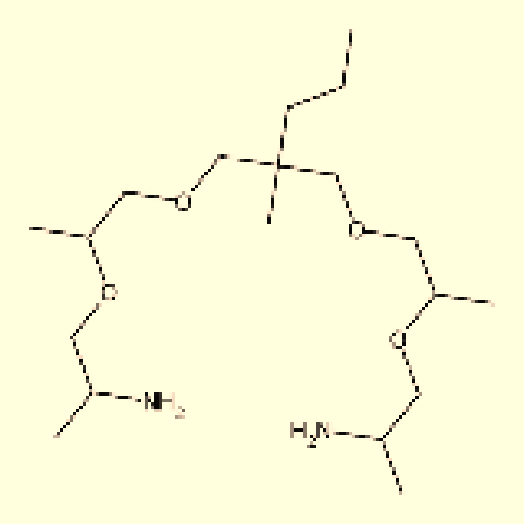 CCCC(C)(COCC(C)OCC(C)N)COCC(C)OCC(C)N